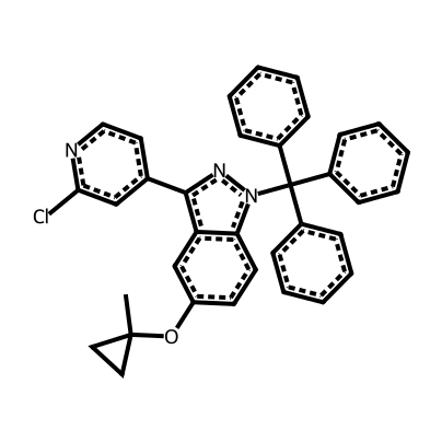 CC1(Oc2ccc3c(c2)c(-c2ccnc(Cl)c2)nn3C(c2ccccc2)(c2ccccc2)c2ccccc2)CC1